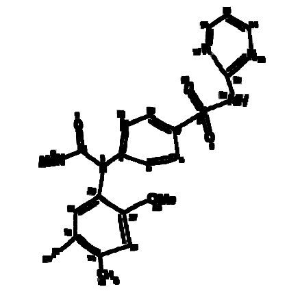 CNC(=O)N(c1ccc(S(=O)(=O)Nc2ncccn2)cn1)c1cc(F)c(C)cc1OC